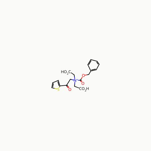 O=C(O)C[N+](CC(=O)O)(CC(=O)c1cccs1)C(=O)OCc1ccccc1